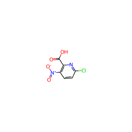 O=C(O)c1nc(Cl)ccc1[N+](=O)[O-]